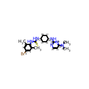 Cc1cc(Br)cc(C)c1NC(=S)N[C@H]1CC[C@@H](Nc2nccc(N(C)C)n2)CC1